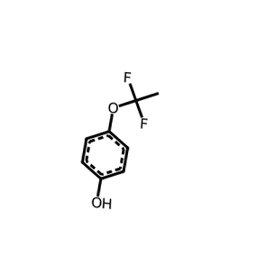 CC(F)(F)Oc1ccc(O)cc1